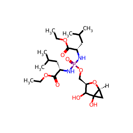 CCOC(=O)[C@H](CC(C)C)NP(=O)(N[C@@H](CC(C)C)C(=O)OCC)OC[C@H]1O[C@H]2CC2(O)C1O